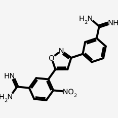 N=C(N)c1cccc(-c2cc(-c3cc(C(=N)N)ccc3[N+](=O)[O-])on2)c1